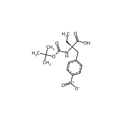 CC[C@@](Cc1ccc([N+](=O)[O-])cc1)(NC(=O)OC(C)(C)C)C(=O)O